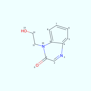 O=c1cnc2ccccc2n1CCO